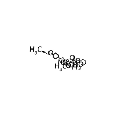 CC#CCOc1ccc(C2=NOC(CC(C)(C(=O)NOC3CCCCO3)S(C)(=O)=O)C2)cc1